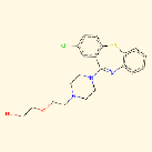 OCCOCCN1CCN(C2=Nc3ccccc3Sc3ccc(Cl)cc32)CC1